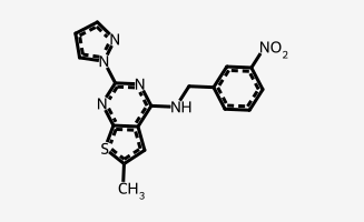 Cc1cc2c(NCc3cccc([N+](=O)[O-])c3)nc(-n3cccn3)nc2s1